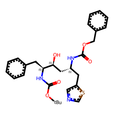 CC(C)(C)OC(=O)N[C@@H](Cc1ccccc1)[C@@H](O)C[C@@H](Cc1cncs1)NC(=O)OCc1ccccc1